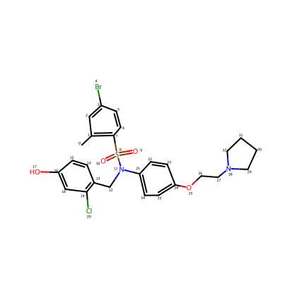 Cc1cc(Br)ccc1S(=O)(=O)N(Cc1ccc(O)cc1Cl)c1ccc(OCCN2CCCC2)cc1